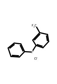 FC(F)(F)c1cccc([I+]c2ccccc2)c1.[Cl-]